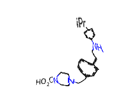 CC(C)c1ccc(NCCc2ccc(CN3CCN(C(=O)O)CC3)cc2)cc1